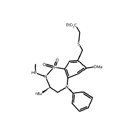 CCCC[C@@H]1CN(c2ccccc2)c2cc(OC)c(CSCC(=O)OCC)cc2S(=O)(=O)N1PC